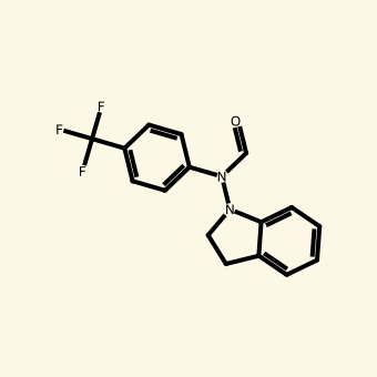 O=CN(c1ccc(C(F)(F)F)cc1)N1CCc2ccccc21